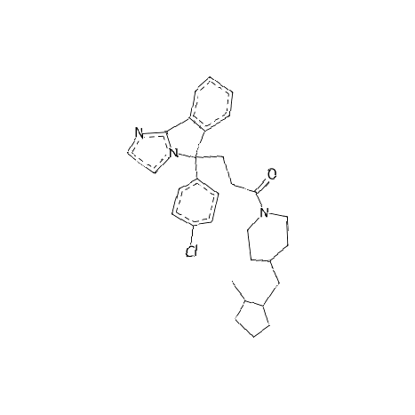 CC1CCCC1CC1CCN(C(=O)CCC2(c3ccc(Cl)cc3)c3ccccc3-c3nccn32)CC1